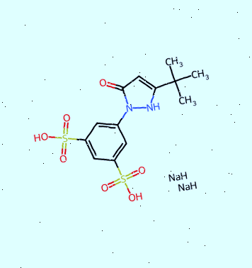 CC(C)(C)c1cc(=O)n(-c2cc(S(=O)(=O)O)cc(S(=O)(=O)O)c2)[nH]1.[NaH].[NaH]